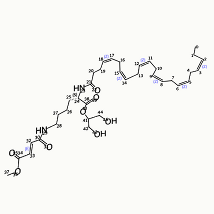 CC/C=C\C/C=C\C/C=C\C/C=C\C/C=C\C/C=C\CCC(=O)N[C@@H](CCCCNC(=O)/C=C/C(=O)OC)C(=O)OC(CO)CO